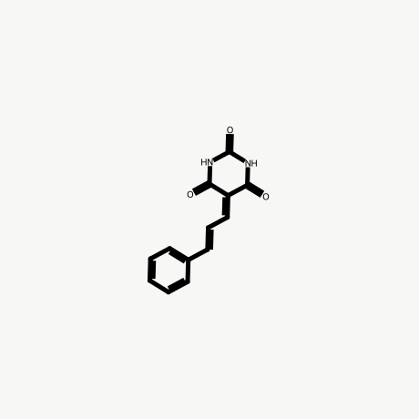 O=C1NC(=O)C(=C/C=C/c2ccccc2)C(=O)N1